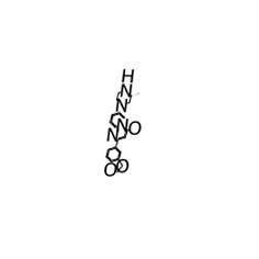 C[C@@H]1CN(c2ccc3nc(-c4ccc5c(c4)OCO5)cc(=O)n3c2)CCN1